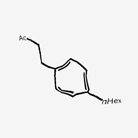 CCCCCCc1ccc(CCC(C)=O)cc1